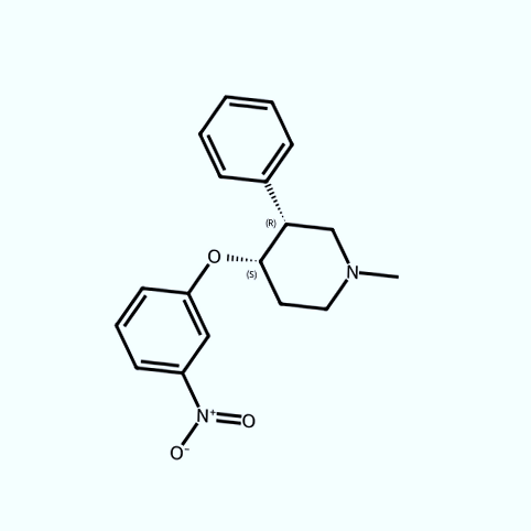 CN1CC[C@H](Oc2cccc([N+](=O)[O-])c2)[C@H](c2ccccc2)C1